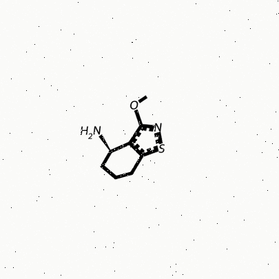 COc1nsc2c1[C@H](N)CCC2